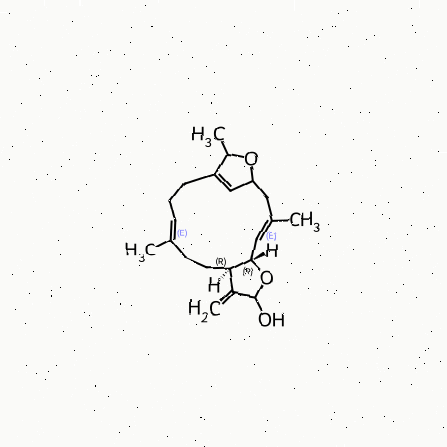 C=C1C(O)O[C@H]2/C=C(\C)CC3C=C(CC/C=C(\C)CC[C@H]12)C(C)O3